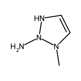 CN1C=CNN1N